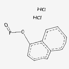 Cl.Cl.O=POc1cccc2ccccc12